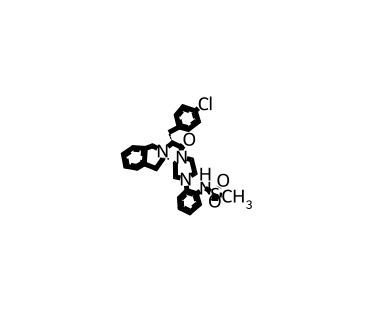 CS(=O)(=O)Nc1ccccc1N1CCN(C(=O)[C@@H](Cc2ccc(Cl)cc2)N2[CH]Cc3ccccc3C2)CC1